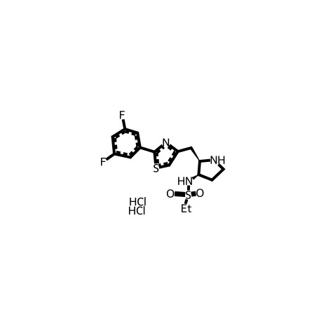 CCS(=O)(=O)N[C@@H]1CCN[C@@H]1Cc1csc(-c2cc(F)cc(F)c2)n1.Cl.Cl